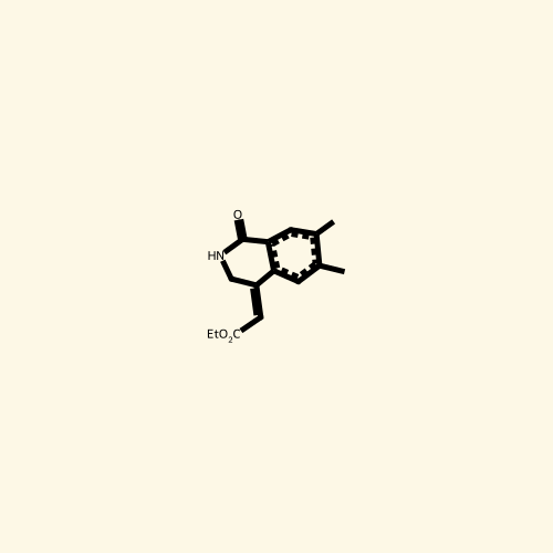 CCOC(=O)/C=C1\CNC(=O)c2cc(C)c(C)cc21